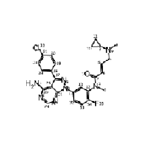 CN(C(=O)/C=C/CN(C)C1CC1)c1cc(-n2nc(-c3ccc(Cl)cc3)c3c(N)ncnc32)ccc1F